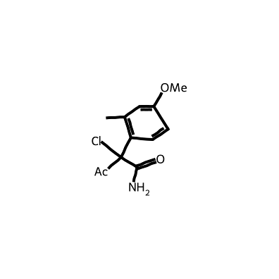 COc1ccc(C(Cl)(C(C)=O)C(N)=O)c(C)c1